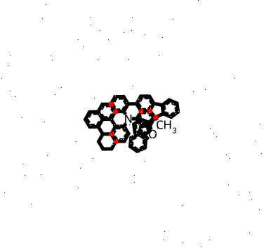 CC1(c2ccccc2)c2ccccc2-c2ccc(-c3ccccc3N(c3ccccc3-c3cccc4cccc(C5CCCCC5)c34)c3cccc4oc5ccccc5c34)cc21